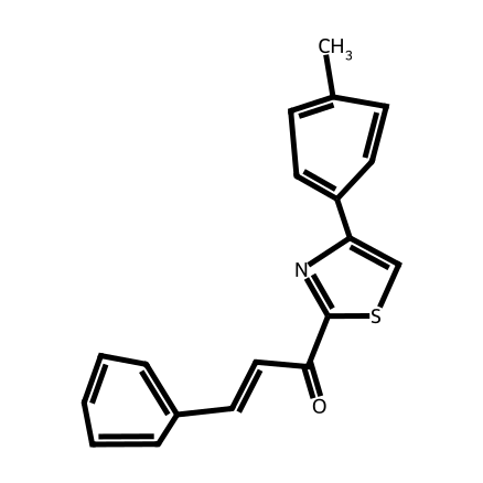 Cc1ccc(-c2csc(C(=O)C=Cc3ccccc3)n2)cc1